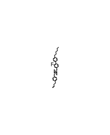 C=CCCc1ccc(C=NN=Cc2ccc(-c3ccc(CCCCCC)cc3)c(F)c2)cc1